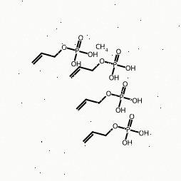 C.C=CCOP(=O)(O)O.C=CCOP(=O)(O)O.C=CCOP(=O)(O)O.C=CCOP(=O)(O)O